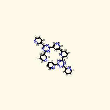 c1ccc(-c2nc(-c3ccccn3)nc(-c3cccc(-c4cncc(-c5nc(-c6cccnc6)nc(-c6cccnc6)n5)c4)n3)n2)nc1